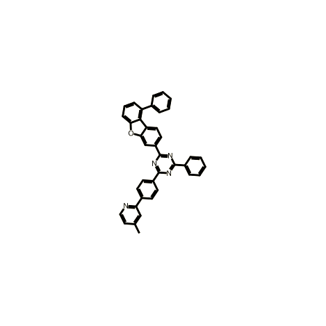 Cc1ccnc(-c2ccc(-c3nc(-c4ccccc4)nc(-c4ccc5c(c4)oc4cccc(-c6ccccc6)c45)n3)cc2)c1